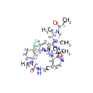 C=CC(=O)N1C[C@H](C)N(c2nc(=O)n3c4nc(c(F)cc24)-c2c(F)cccc2N(C)C(=O)NCCc2ccnc(C(C)C)c2-3)C[C@H]1C